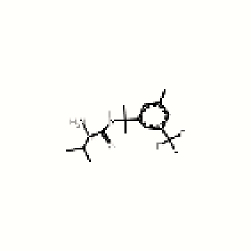 Cc1cc(C(F)(F)F)cc(C(C)(C)NC(=O)[C@H](N)C(C)C)c1